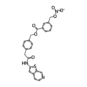 O=C(Cc1ccc(COC(=O)c2cccc(CO[N+](=O)[O-])c2)cc1)Nc1cc2ccncc2s1